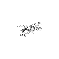 C=C(C)[C@@H]1CC[C@]2(C(=O)Cl)CC[C@]3(C)[C@H](CC[C@@H]4[C@@]5(C)CC[C@H](OC)C(C)(C)[C@@H]5CC[C@]43C)[C@@H]12